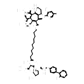 Cn1ccc2c(c1=O)C1=C3C(=CN(c4ncc(F)cc4F)C3CCN1)C(C(=O)NCCCCCCCCCCC(=O)N[C@H](C(=O)N1C[C@H](O)C[C@H]1C(=O)NOc1ccc(-c3ccccc3F)cc1)C(C)(C)C)=C2CS(C)(=O)=O